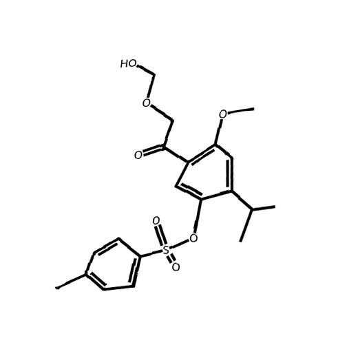 COc1cc(C(C)C)c(OS(=O)(=O)c2ccc(C)cc2)cc1C(=O)COCO